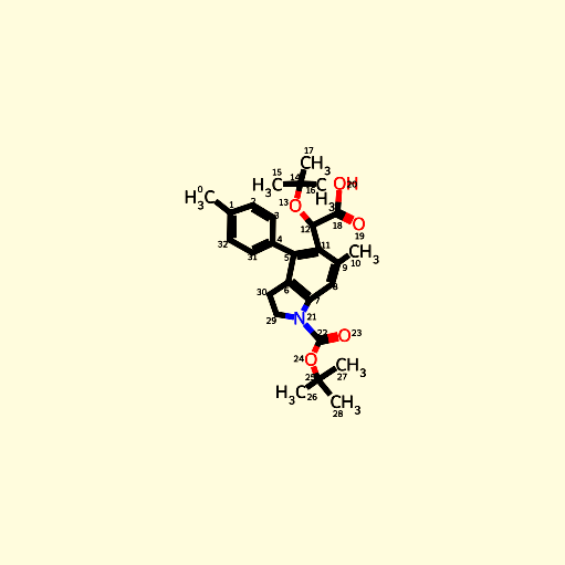 Cc1ccc(-c2c3c(cc(C)c2C(OC(C)(C)C)C(=O)O)N(C(=O)OC(C)(C)C)CC3)cc1